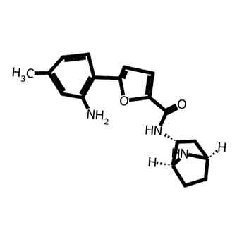 Cc1ccc(-c2ccc(C(=O)N[C@@H]3C[C@H]4CC[C@@H]3N4)o2)c(N)c1